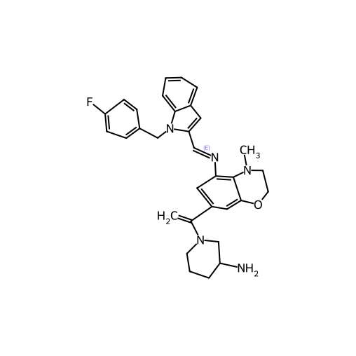 C=C(c1cc(/N=C/c2cc3ccccc3n2Cc2ccc(F)cc2)c2c(c1)OCCN2C)N1CCCC(N)C1